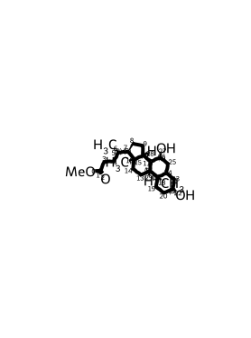 COC(=O)CC[C@@H](C)[C@H]1CC[C@@H]2C3[C@@H](CC[C@@]21C)[C@@]1(C)CC[C@H](O)CC1C[C@@H]3O